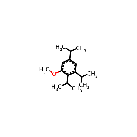 COc1cc(C(C)C)cc(C(C)C)c1C(C)C